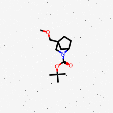 COCC12CCC(C1)N(C(=O)OC(C)(C)C)C2